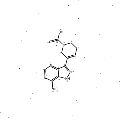 Nc1ncnc2c(C3=CCCN(C(=O)O)C3)n[nH]c12